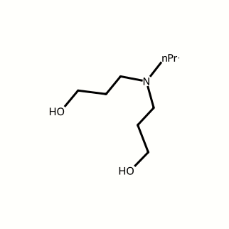 CC[CH]N(CCCO)CCCO